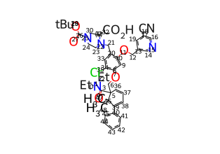 CCN(CC)C(=O)C1(COc2cc(OCc3cncc(C#N)c3)c(CN3CCN(C(=O)OC(C)(C)C)C[C@H]3C(=O)O)cc2Cl)C=CC=C(c2ccccc2)C1(C)C